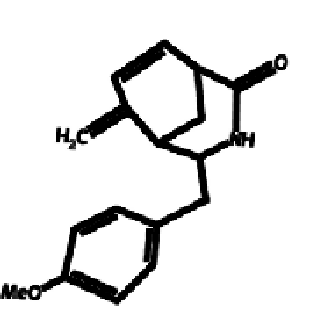 C=C1C=CC2CC1C(Cc1ccc(OC)cc1)NC2=O